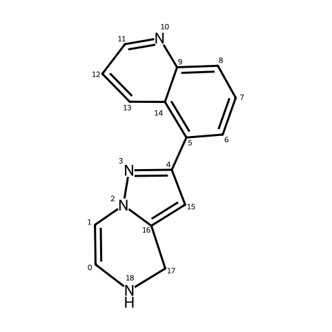 C1=Cn2nc(-c3cccc4ncccc34)cc2CN1